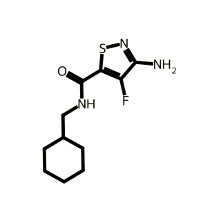 Nc1nsc(C(=O)NCC2CCCCC2)c1F